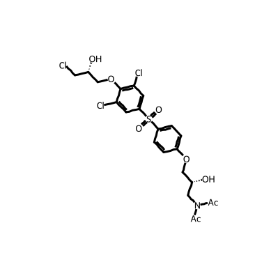 CC(=O)N(C[C@@H](O)COc1ccc(S(=O)(=O)c2cc(Cl)c(OC[C@@H](O)CCl)c(Cl)c2)cc1)C(C)=O